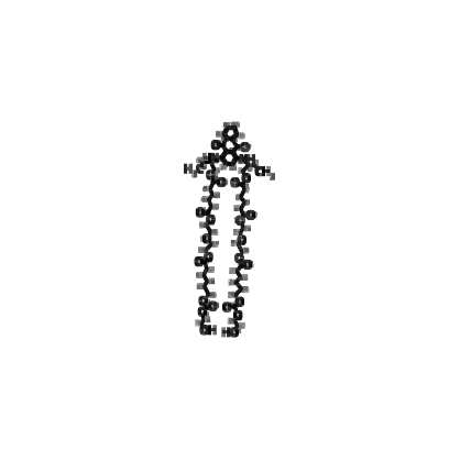 CCC(COC(=O)CCCCC(=O)OCCOCCOC(=O)CCCCCOC(=O)OCCO)Nc1ccc(NC(CC)COC(=O)CCCCC(=O)OCCOCCOC(=O)CCCCCOC(=O)OCCO)c2c1C(=O)c1ccccc1C2=O